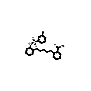 Cc1cccc(S(=O)(=O)Nc2ccccc2CCCCCc2ccccc2C(=O)O)c1